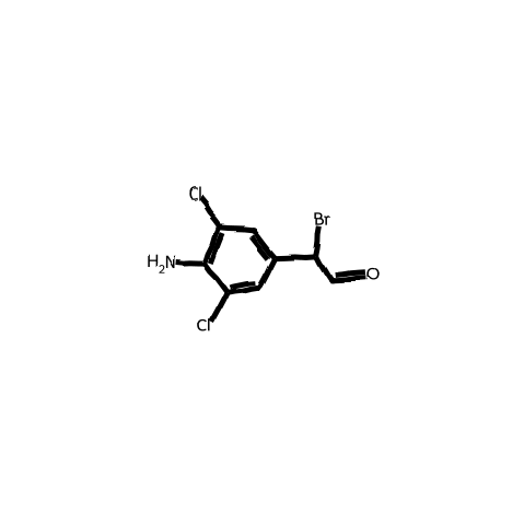 Nc1c(Cl)cc(C(Br)C=O)cc1Cl